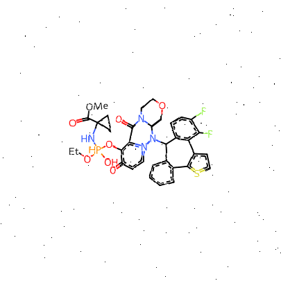 CCO[PH](O)(NC1(C(=O)OC)CC1)Oc1c2n(ccc1=O)N(C1c3ccccc3-c3sccc3-c3c1ccc(F)c3F)C1COCCN1C2=O